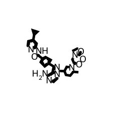 CC1CCC(c2nc(-c3ccc(C(=O)Nc4cc(C5CC5)ccn4)cc3)c3c(N)nccn23)CN1C(=O)CN1CCOC1=O